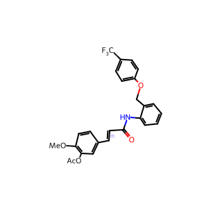 COc1ccc(/C=C/C(=O)Nc2ccccc2COc2ccc(C(F)(F)F)cc2)cc1OC(C)=O